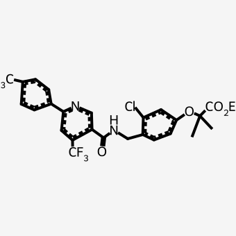 CCOC(=O)C(C)(C)Oc1ccc(CNC(=O)c2cnc(-c3ccc(C(F)(F)F)cc3)cc2C(F)(F)F)c(Cl)c1